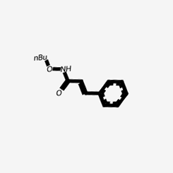 CCCCONC(=O)C=Cc1ccccc1